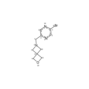 Brc1cnc(CN2CC3(COC3)C2)cn1